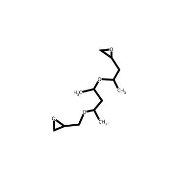 CC(CC(C)OC(C)CC1CO1)OCC1CO1